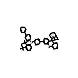 CC1(C)CCC(C)(C)c2c(N(c3ccc(-c4ccccc4)cc3)c3ccc(-c4ccc5c(c4)Sc4ccccc4C54C5CC6CC7CC4C75C6)cc3)cccc21